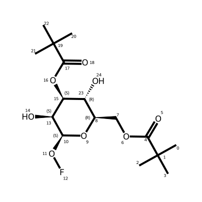 CC(C)(C)C(=O)OC[C@H]1O[C@@H](OF)[C@@H](O)[C@@H](OC(=O)C(C)(C)C)[C@@H]1O